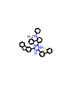 CN(C1=CC=CCC1)C1=C(c2ccccc2)C(C2N=C(c3ccc4c(c3)-c3ccccc3C4)NC(c3cccc4c3sc3ccccc34)N2)=CCC1